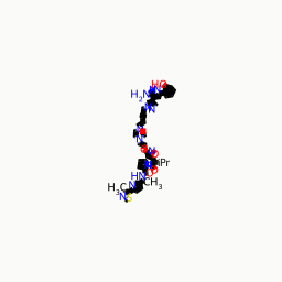 Cc1ncsc1-c1ccc(C(C)NC(=O)C2CCCN2C(=O)C(c2cc(OCCN3CCN(CCC#CCn4cc(-c5cc(-c6ccccc6O)nnc5N)cn4)CC3)no2)C(C)C)cn1